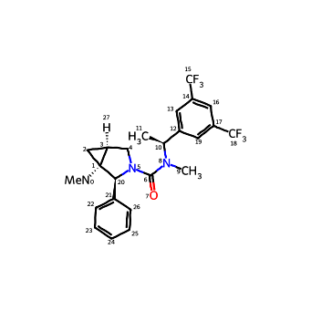 CN[C@]12C[C@H]1CN(C(=O)N(C)[C@@H](C)c1cc(C(F)(F)F)cc(C(F)(F)F)c1)[C@H]2c1ccccc1